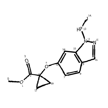 COC(=O)C1(Oc2ccc3cnn(PI)c3c2)CC1